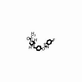 CC(=O)N1C[C@H]2C[C@@H]1CN2Cc1ccc(Oc2nc3cc(F)ccc3s2)cc1